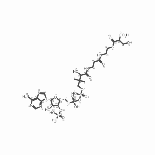 CC(C)(COP(=O)(O)OP(=O)(O)OC[C@H]1O[C@@H](n2cnc3c(N)ncnc32)[C@H](O)[C@@H]1OP(=O)(O)O)C(O)C(=O)NCCC(=O)NCCSC(=O)C(CO)C(=O)O